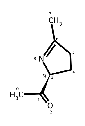 CC(=O)[C@@H]1CCC(C)=N1